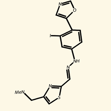 CNCc1csc(C=NNc2ccc(-c3cnco3)c(I)c2)n1